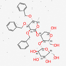 C[C@@H]1O[C@@H](O[C@@H]2C[C@H](O)O[C@H](CO)[C@H]2O[C@@H]2O[C@H](CO)[C@H](O)[C@H](O)[C@H]2O)[C@@H](OCc2ccccc2)[C@H](OCc2ccccc2)[C@@H]1OCc1ccccc1